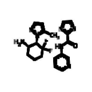 Cc1ccnn1[C@@H]1[C@H](N)CCCC1(F)F.O=C(Nc1cccnc1)c1nccs1